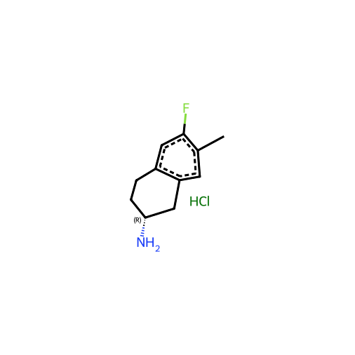 Cc1cc2c(cc1F)CC[C@@H](N)C2.Cl